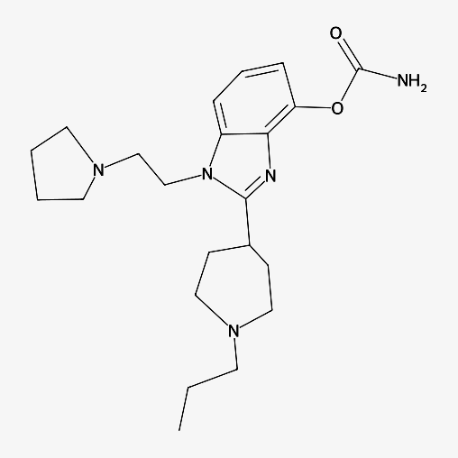 CCCN1CCC(c2nc3c(OC(N)=O)cccc3n2CCN2CCCC2)CC1